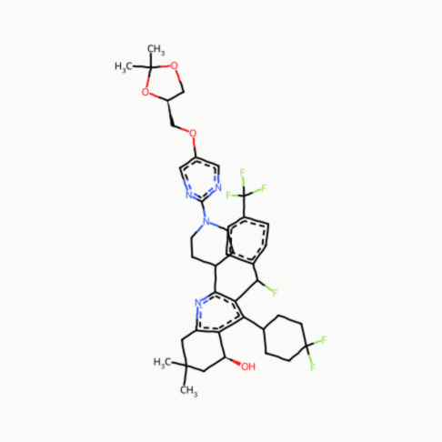 CC1(C)Cc2nc(C3CCN(c4ncc(OC[C@@H]5COC(C)(C)O5)cn4)CC3)c(C(F)c3ccc(C(F)(F)F)cc3)c(C3CCC(F)(F)CC3)c2[C@@H](O)C1